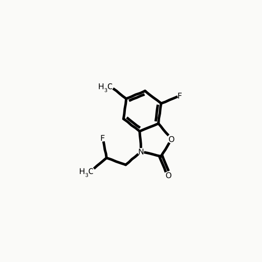 Cc1cc(F)c2oc(=O)n(CC(C)F)c2c1